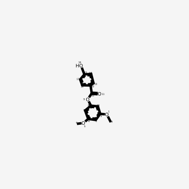 COc1cc(OC)cc(OC(=O)c2ccc(O)cc2)c1